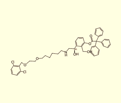 O=C(Oc1cccc([C@@H](O)CNCCCCCCOCCOCc2c(Cl)cccc2Cl)c1CO)C(c1ccccc1)(c1ccccc1)c1ccccc1